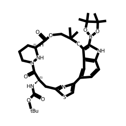 CC1(C)COC(=O)[C@@H]2CCCN(N2)C(=O)[C@@H](NC(=O)OC(C)(C)C)Cc2nc(cs2)-c2ccc3[nH]c(B4OC(C)(C)C(C)(C)O4)c(c3c2)C1